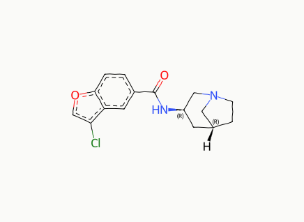 O=C(N[C@@H]1C[C@H]2CCN(C2)C1)c1ccc2occ(Cl)c2c1